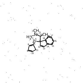 CC(N(C)C)[C]1([Zr][C]2=CC=CC2)C=Cc2ccccc21